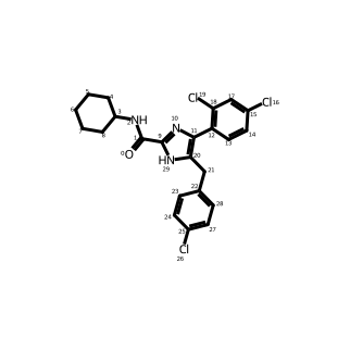 O=C(NC1CCCCC1)c1nc(-c2ccc(Cl)cc2Cl)c(Cc2ccc(Cl)cc2)[nH]1